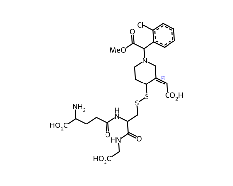 COC(=O)C(c1ccccc1Cl)N1CCC(SSCC(NC(=O)CCC(N)C(=O)O)C(=O)NCC(=O)O)/C(=C\C(=O)O)C1